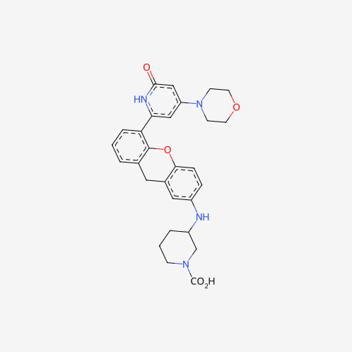 O=C(O)N1CCCC(Nc2ccc3c(c2)Cc2cccc(-c4cc(N5CCOCC5)cc(=O)[nH]4)c2O3)C1